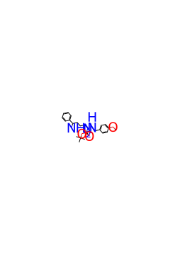 COc1ccc(CNN(CCCC(N)c2ccccc2)C(=O)OC(C)(C)C)cc1